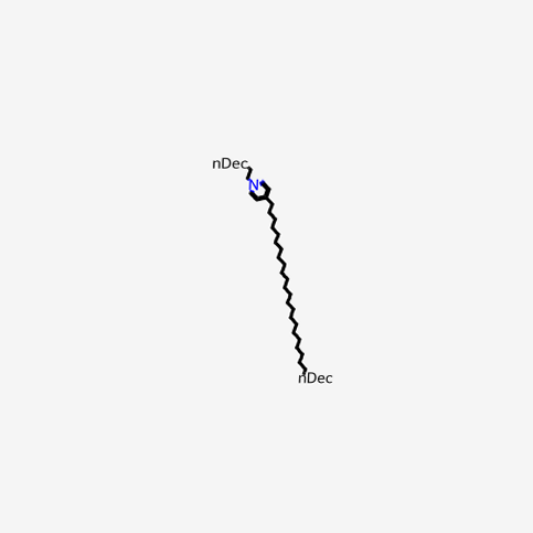 CCCCCCCCCCCCCCCCCCCCCCCCCCCCCCCCCc1cc[n+](CCCCCCCCCCCC)cc1